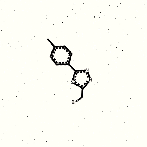 Cc1ccc(-c2nnc(CBr)s2)cc1